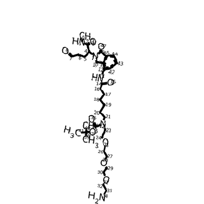 CNC(=O)C(CCC=O)N1Cc2c(NC(=O)CCCCCCN(CCOCCOCCOCCN)C(=O)OC(C)(C)C)cccc2C1=O